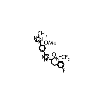 COc1cc(-c2cn(C3CCc4cc(F)ccc4N(CC(F)(F)F)C3=O)nn2)ccc1-n1cnc(C)n1